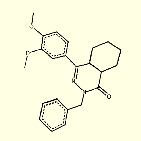 COc1ccc(C2=NN(Cc3ccccc3)C(=O)C3CCCCC23)cc1OC